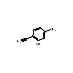 Br.C#Cc1ccc(C)cc1